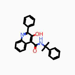 CC(C)(NC(=O)c1c(O)c(-c2ccccc2)nc2ccccc12)c1ccccc1